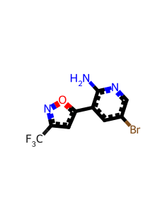 Nc1ncc(Br)cc1-c1cc(C(F)(F)F)no1